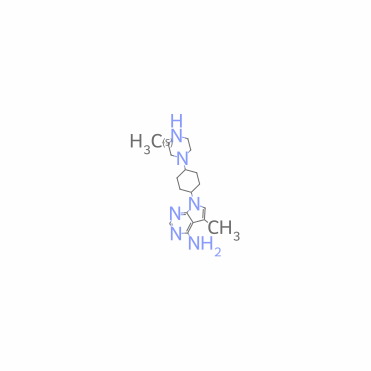 Cc1cn(C2CCC(N3CCN[C@@H](C)C3)CC2)c2ncnc(N)c12